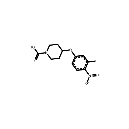 O=C(O)N1CCC(Oc2ccc([N+](=O)[O-])c(F)c2)CC1